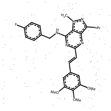 CCCc1nn(C)c2c(NCc3ccc(F)cc3)nc(/C=C/c3cc(OC)c(OC)c(OC)c3)nc12